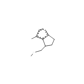 CCNCC1CCc2scc(C)c21